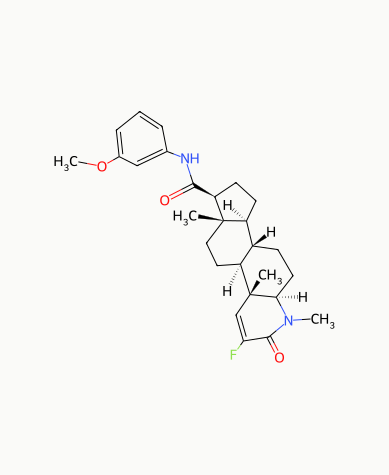 COc1cccc(NC(=O)[C@H]2CC[C@H]3[C@@H]4CC[C@H]5N(C)C(=O)C(F)=C[C@]5(C)[C@H]4CC[C@]23C)c1